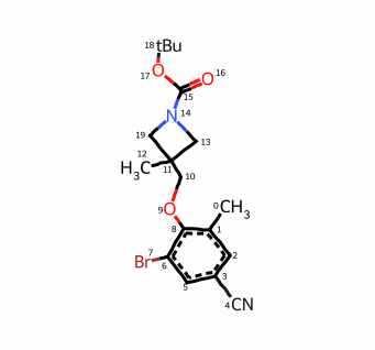 Cc1cc(C#N)cc(Br)c1OCC1(C)CN(C(=O)OC(C)(C)C)C1